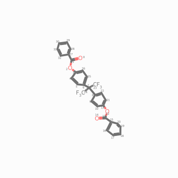 O=C(Oc1ccc(C(c2ccc(OC(=O)c3ccccc3)cc2)(C(F)(F)F)C(F)(F)F)cc1)c1ccccc1